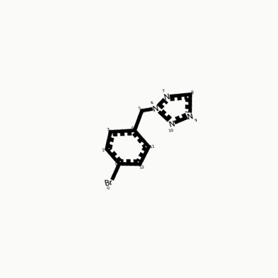 Brc1ccc(Cn2n[c]nn2)cc1